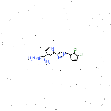 NN/C=C(\N)c1ccnc(-c2cn(Cc3cccc(Cl)c3Cl)cn2)c1